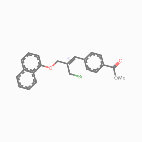 COC(=O)c1ccc(/C=C(\CBr)COc2cccc3ccccc23)cc1